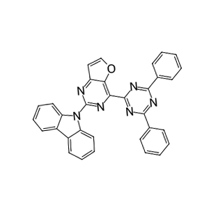 c1ccc(-c2nc(-c3ccccc3)nc(-c3nc(-n4c5ccccc5c5ccccc54)nc4ccoc34)n2)cc1